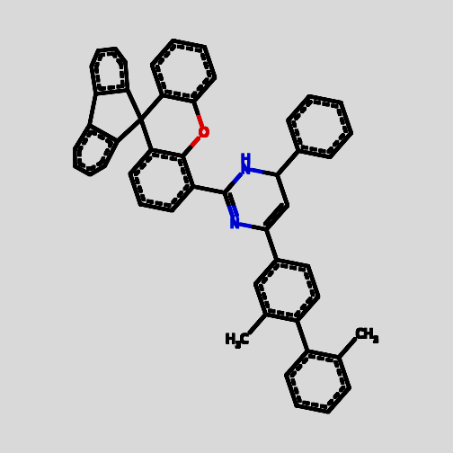 Cc1ccccc1-c1ccc(C2=CC(c3ccccc3)NC(c3cccc4c3Oc3ccccc3C43c4ccccc4-c4ccccc43)=N2)cc1C